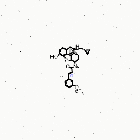 CN(C(=O)/C=C/c1cccc(OC(F)(F)F)c1)C1CC[C@H]2[C@H]3Cc4ccc(O)c5c4[C@@]2(CCN3CC2CC2)C1O5